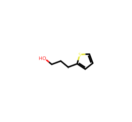 OCC[CH]c1cccs1